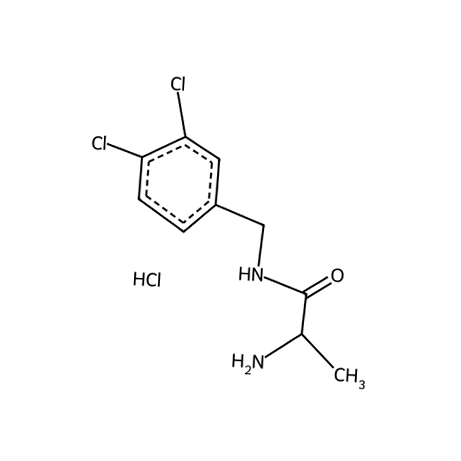 CC(N)C(=O)NCc1ccc(Cl)c(Cl)c1.Cl